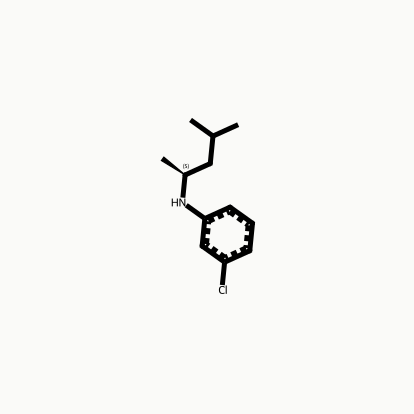 CC(C)C[C@H](C)Nc1cccc(Cl)c1